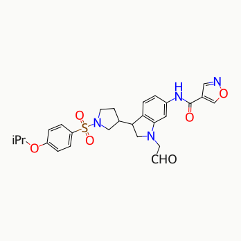 CC(C)Oc1ccc(S(=O)(=O)N2CCC(C3CN(CC=O)c4cc(NC(=O)c5cnoc5)ccc43)C2)cc1